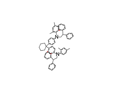 Cc1ccc(N(CC(c2ccccc2)c2ccccc2)c2ccc(C3(c4ccc(N(CC(c5ccccc5)c5ccccc5)c5ccc(C)cc5C)cc4)CCCCC3)cc2)c(C)c1